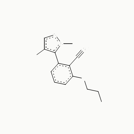 CCCOc1cccc(-c2c(Br)cnn2C)c1C#N